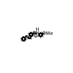 COc1cccc(NC(=O)Oc2ccc3c(c2)CCN3Cc2ccccc2)c1